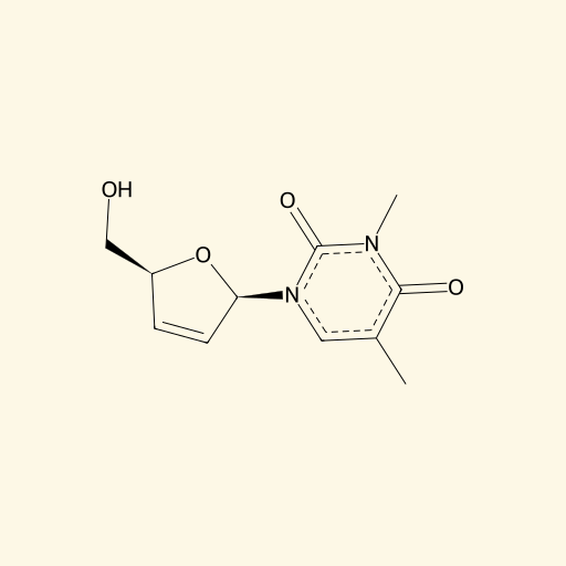 Cc1cn([C@H]2C=C[C@@H](CO)O2)c(=O)n(C)c1=O